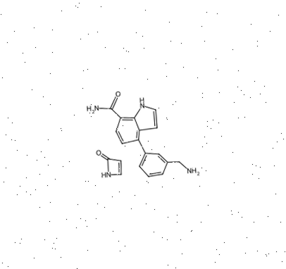 NCc1cccc(-c2ccc(C(N)=O)c3[nH]ccc23)c1.O=C1C=CN1